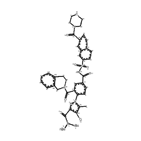 CCCCN(CCCC)C(=O)c1nn(-c2ccc(C(=O)NS(=O)(=O)c3ccc4ccc(C(=O)N5CCOCC5)cc4c3)cc2C(=O)N2CCc3ccccc3C2)c(C)c1Cl